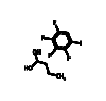 CCCC(O)O.Fc1cc(I)c(F)c(F)c1F